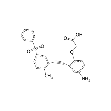 Cc1ccc(S(=O)(=O)c2ccccc2)cc1C#Cc1cc(N)ccc1OCC(=O)O